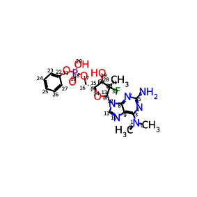 CN(C)c1nc(N)nc2c1ncn2[C@@H]1O[C@H](COP(=O)(O)Oc2ccccc2)[C@@H](O)[C@@]1(C)F